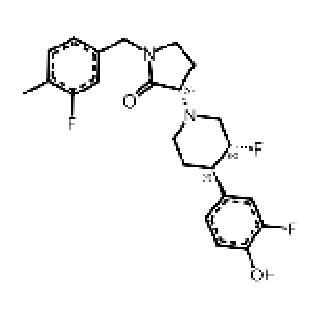 Cc1ccc(CN2CC[C@H](N3CC[C@H](c4ccc(O)c(F)c4)[C@@H](F)C3)C2=O)cc1F